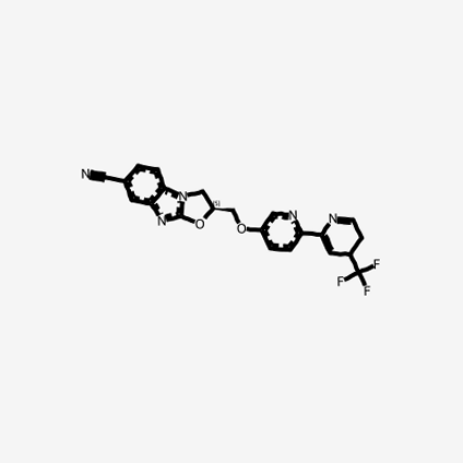 N#Cc1ccc2c(c1)nc1n2C[C@@H](COc2ccc(C3=CC(C(F)(F)F)CC=N3)nc2)O1